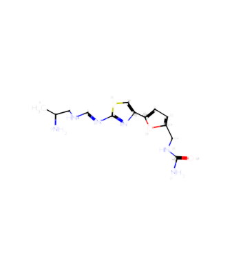 CC(N)CNC=Nc1nc(-c2ccc(CNC(N)=O)o2)cs1